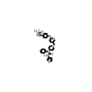 CS(=O)(=O)Nc1ccc(Oc2ccc(CN3CCC(N(C(=O)Nc4ccsc4)c4ccccc4)CC3)cn2)cc1